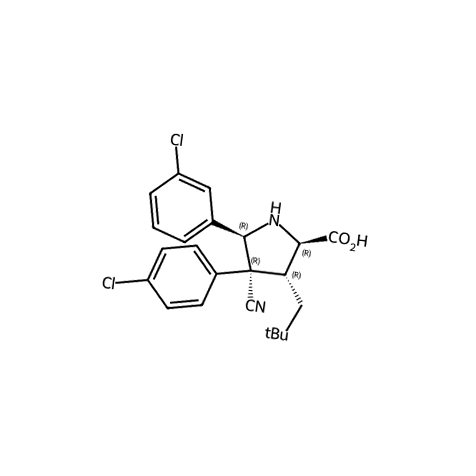 CC(C)(C)C[C@H]1[C@H](C(=O)O)N[C@H](c2cccc(Cl)c2)[C@]1(C#N)c1ccc(Cl)cc1